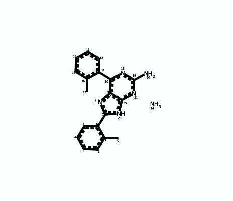 Cc1ccccc1-c1nc2c(-c3ccccc3C)nc(N)nc2[nH]1.N